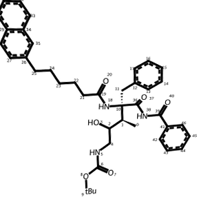 C[C@@H](C(O)CNC(=O)OC(C)(C)C)[C@@](Cc1ccccc1)(NC(=O)CCCCCc1ccc2ccccc2c1)C(=O)NC(=O)c1ccccc1